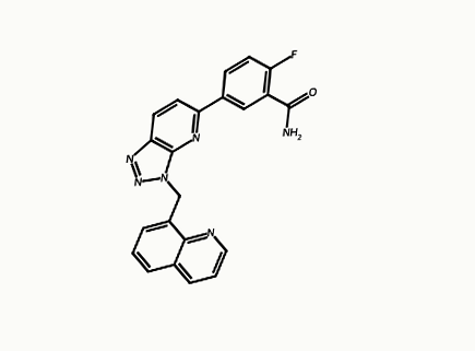 NC(=O)c1cc(-c2ccc3nnn(Cc4cccc5cccnc45)c3n2)ccc1F